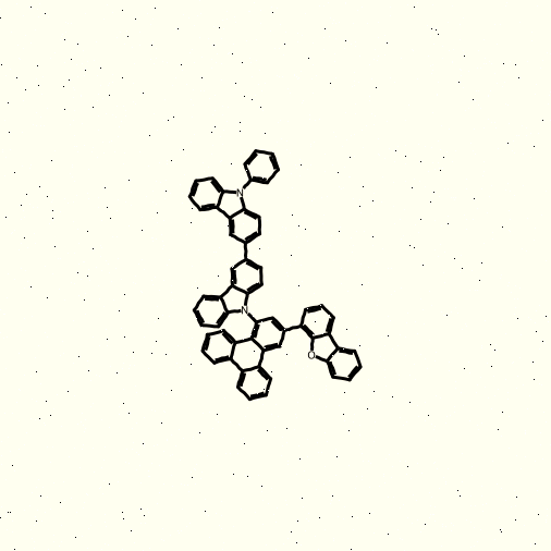 c1ccc(-n2c3ccccc3c3cc(-c4ccc5c(c4)c4ccccc4n5-c4cc(-c5cccc6c5oc5ccccc56)cc5c6ccccc6c6ccccc6c45)ccc32)cc1